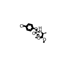 COC(=O)[C@H](C)NP(=O)(OC)Oc1ccc(Cl)cc1